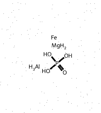 O=P(O)(O)O.[AlH3].[Fe].[MgH2]